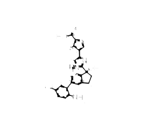 Nc1ccc(Cl)cc1-c1cc2c([n+]([O-])c1)C(O)(c1nc(-c3csc(C(=O)O)c3F)c[nH]1)CC2